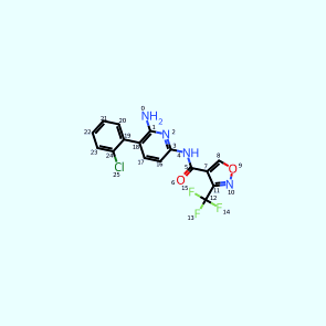 Nc1nc(NC(=O)c2conc2C(F)(F)F)ccc1-c1ccccc1Cl